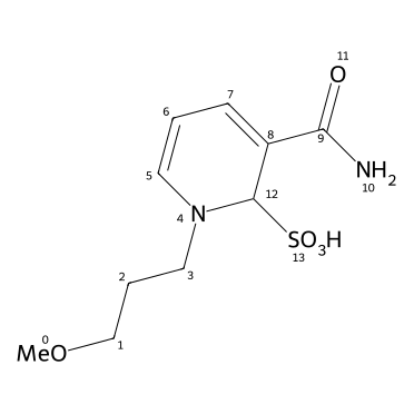 COCCCN1C=CC=C(C(N)=O)C1S(=O)(=O)O